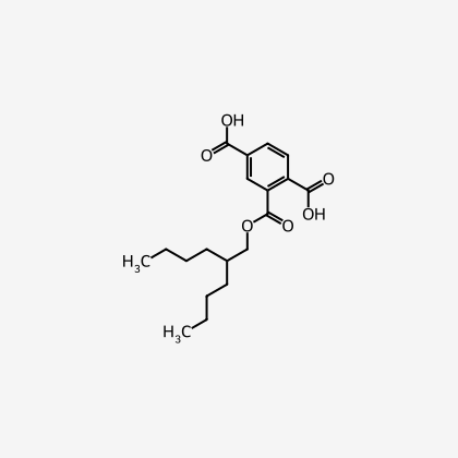 CCCCC(CCCC)COC(=O)c1cc(C(=O)O)ccc1C(=O)O